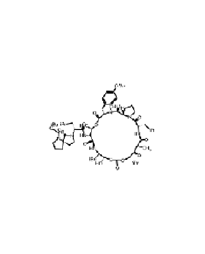 CC[C@H](C)[C@H]1NC(=O)[C@@H](NC(=O)[C@@H](CC(C)C)N2CC[C@]3(CCCN3C(=O)OC(C)(C)C)C2=O)[C@@H](C)OC(=O)[C@H](Cc2ccc(OC)cc2)N(C)C(=O)[C@@H]2CCCN2C(=O)[C@H](CC(C)C)NC(=O)[C@@H](C)C(=O)[C@H](C(C)C)OC(=O)C[C@@H]1O